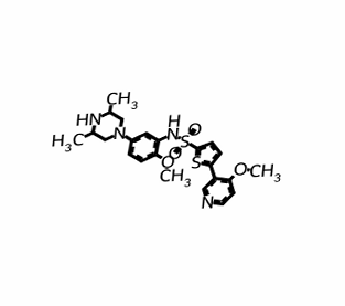 COc1ccc(N2CC(C)NC(C)C2)cc1NS(=O)(=O)c1ccc(-c2cnccc2OC)s1